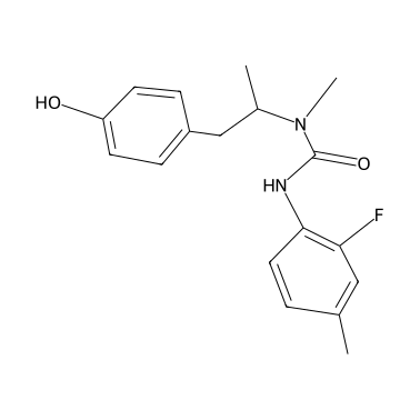 Cc1ccc(NC(=O)N(C)C(C)Cc2ccc(O)cc2)c(F)c1